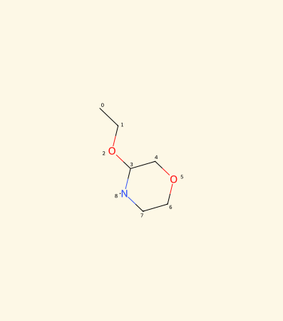 CCOC1COCC[N]1